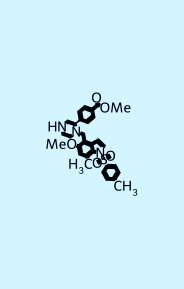 COC(=O)c1ccc([C@@H]2CNCCN2Cc2c(OC)cc(C)c3c2ccn3S(=O)(=O)c2ccc(C)cc2)cc1